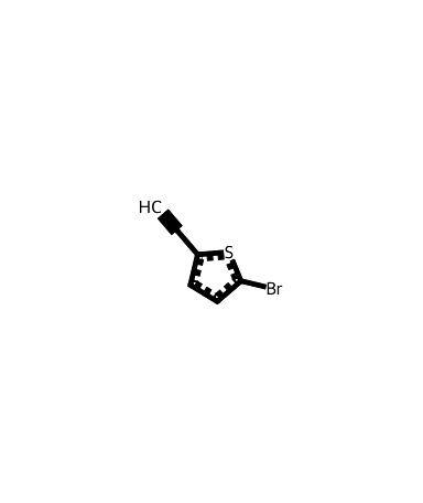 C#Cc1ccc(Br)s1